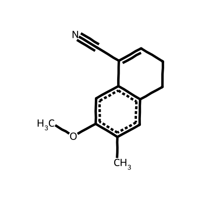 COc1cc2c(cc1C)CCC=C2C#N